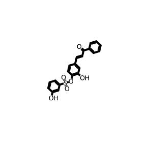 O=C(C=Cc1ccc(OS(=O)(=O)c2cccc(O)c2)c(O)c1)c1ccccc1